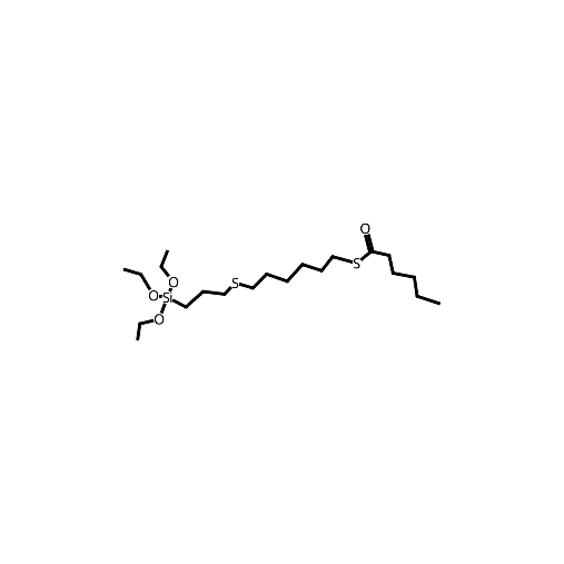 CCCCCC(=O)SCCCCCCSCCC[Si](OCC)(OCC)OCC